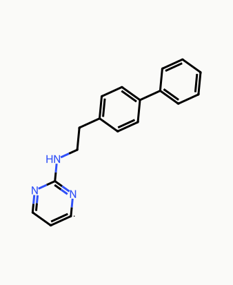 [c]1ccnc(NCCc2ccc(-c3ccccc3)cc2)n1